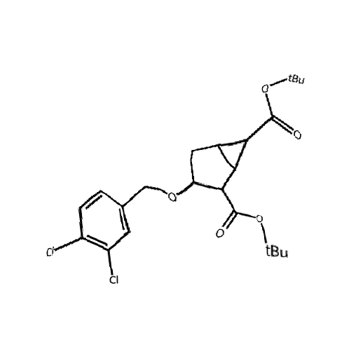 CC(C)(C)OC(=O)C1C(OCc2ccc(Cl)c(Cl)c2)CC2C(C(=O)OC(C)(C)C)C21